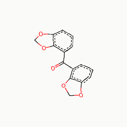 O=C(c1cccc2c1OCO2)c1cccc2c1OCO2